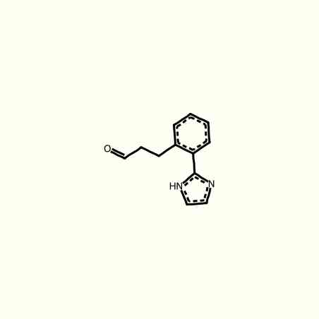 O=CCCc1ccccc1-c1ncc[nH]1